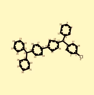 Clc1ccc(C(c2ccccc2)c2ccc(-c3ccc(C(c4ccccc4)c4ccccc4)cc3)cc2)cc1